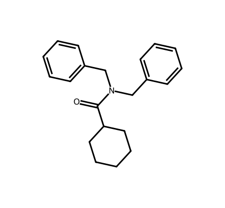 O=C(C1CCCCC1)N(Cc1ccccc1)Cc1ccccc1